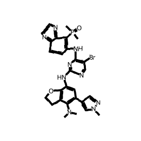 CN(C)c1c(-c2cnn(C)c2)cc(Nc2ncc(Br)c(Nc3ccc4nccnc4c3P(C)(C)=O)n2)c2c1CCO2